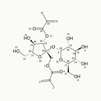 C=C(C)C(=O)OC[C@@]1(O[C@H]2O[C@H](CO)[C@@H](O)[C@H](O)[C@H]2O)O[C@H](CO)[C@@H](O)[C@@H]1OC(=O)C(=C)C